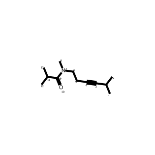 CC(C)C#CCCN(C)C(=O)C(C)C